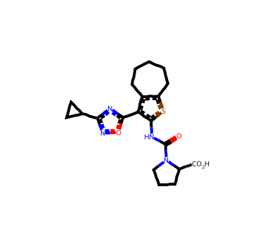 O=C(O)C1CCCN1C(=O)Nc1sc2c(c1-c1nc(C3CC3)no1)CCCCC2